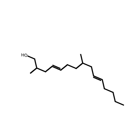 CCCCC=CCC(C)CCC=CCC(C)CO